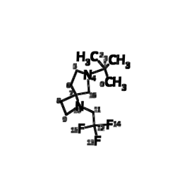 CC(C)(C)N1CCC2(CCN2CC(F)(F)F)C1